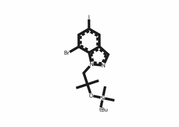 CC(C)(Cn1ncc2cc(I)cc(Br)c21)O[Si](C)(C)C(C)(C)C